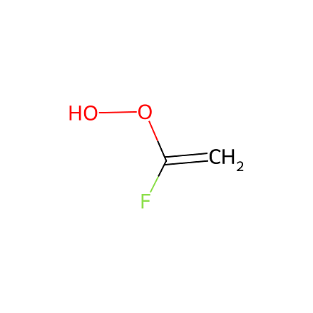 C=C(F)OO